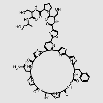 CC(NC(=O)C(CO)NC(=O)C1CCCN1C(=O)C(CO)NC(=O)c1csc(-c2ccc3c(n2)-c2csc(n2)-c2csc(n2)C(Cc2ccccc2)NC(=O)CNC(=O)c2csc(n2)C(C(C)C)NC(=O)c2csc(n2)C(CC(N)=O)NC(=O)c2csc-3n2)n1)C(=O)O